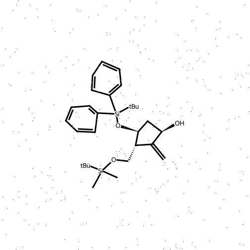 C=C1[C@H](O)C[C@H](O[Si](c2ccccc2)(c2ccccc2)C(C)(C)C)[C@H]1CO[Si](C)(C)C(C)(C)C